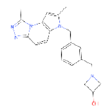 Cc1cc2c(ccc3nnc(C)n32)n1Cc1cccc(CN2CC(O)C2)c1